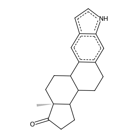 C[C@]12CCC3c4cc5cc[nH]c5cc4CCC3C1CCC2=O